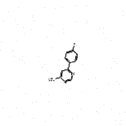 CC(C)(C)c1cc(-c2ccc(F)cc2)ncn1